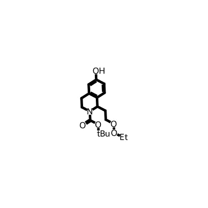 CCOOCCC1c2ccc(O)cc2CCN1C(=O)OC(C)(C)C